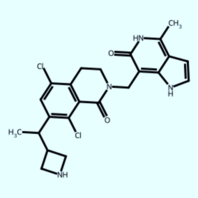 Cc1[nH]c(=O)c(CN2CCc3c(Cl)cc(C(C)C4CNC4)c(Cl)c3C2=O)c2[nH]ccc12